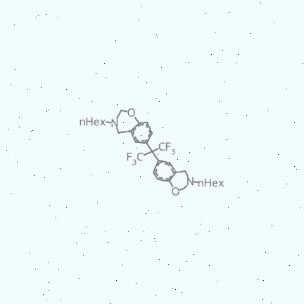 CCCCCCN1COc2ccc(C(c3ccc4c(c3)CN(CCCCCC)CO4)(C(F)(F)F)C(F)(F)F)cc2C1